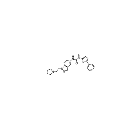 O=C(Nc1ccc2c(cnn2CCN2CCCC2)c1)Nc1ccc(-c2ccccc2)s1